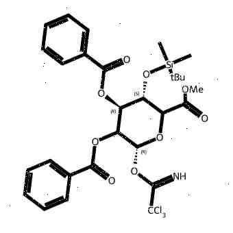 COC(=O)C1O[C@H](OC(=N)C(Cl)(Cl)Cl)C(OC(=O)c2ccccc2)[C@@H](OC(=O)c2ccccc2)[C@@H]1O[Si](C)(C)C(C)(C)C